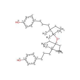 CCC(CC)(O[Si](C)(C)C(C)(CC)CCCc1ccc(O)cc1)[Si](C)(C)CCCc1ccc(O)cc1